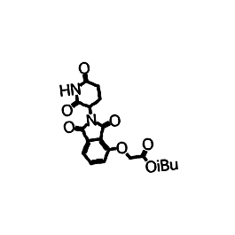 CC(C)COC(=O)COc1cccc2c1C(=O)N(C1CCC(=O)NC1=O)C2=O